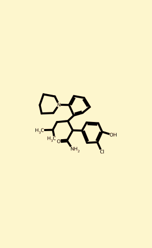 CC(C)CC(c1ccccc1N1CCCCC1)C(C(N)=O)c1ccc(O)c(Cl)c1